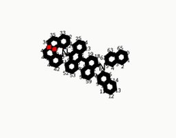 c1ccc2cc(N(c3ccc4ccccc4c3)c3ccc(-c4c5ccccc5c(N(c5cccc6ccccc56)c5cccc6ccccc56)c5ccccc45)c4ccccc34)ccc2c1